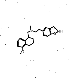 COc1cccc2c1CCCC2CN(C)CCc1ccc2c(c1)CNS2